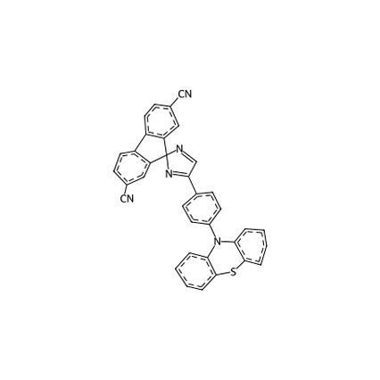 N#Cc1ccc2c(c1)C1(N=CC(c3ccc(N4c5ccccc5Sc5ccccc54)cc3)=N1)c1cc(C#N)ccc1-2